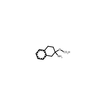 NC1(OC(=O)O)CCc2ccccc2C1